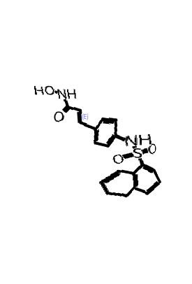 O=C(/C=C/c1ccc(NS(=O)(=O)c2cccc3c2C=CCC3)cc1)NO